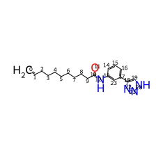 C=CCCCCCCCCC(=O)Nc1cccc(-c2c[nH]nn2)c1